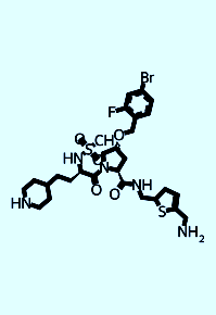 CS(=O)(=O)N[C@H](CCC1CCNCC1)C(=O)N1C[C@H](OCc2ccc(Br)cc2F)C[C@H]1C(=O)NCC1CC=C(CN)S1